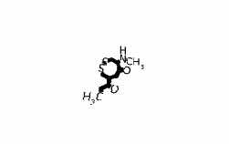 CCC(=O)C1CSSCC(NC)C(=O)C1